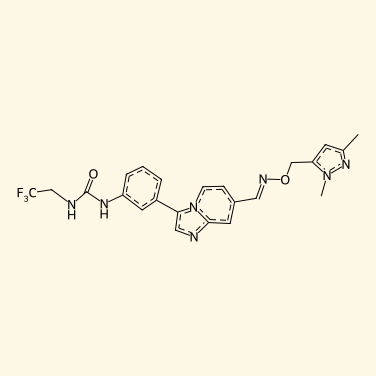 Cc1cc(CO/N=C/c2ccn3c(-c4cccc(NC(=O)NCC(F)(F)F)c4)cnc3c2)n(C)n1